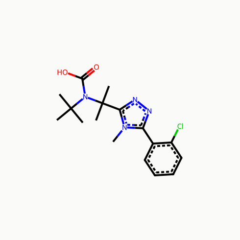 Cn1c(-c2ccccc2Cl)nnc1C(C)(C)N(C(=O)O)C(C)(C)C